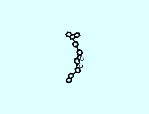 c1ccc2cc(-c3ccc4oc5c(ccc6c7cc(-c8ccc(-c9cc%10ccccc%10c%10ccccc9%10)cc8)ccc7oc65)c4c3)ccc2c1